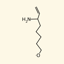 C=CC(N)CCCCC[O]